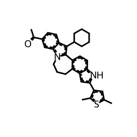 CC(=O)c1ccc2c(C3CCCCC3)c3n(c2c1)CCCc1c-3ccc2[nH]c(-c3cc(C)sc3C)cc12